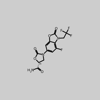 NC(=O)[C@H]1CN(c2cc(F)c3c(c2)oc(=O)n3CC(F)(F)F)C(=O)O1